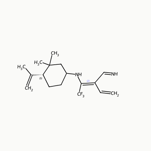 C=C/C(C=N)=C(/NC1CC[C@H](C(=C)C)C(C)(C)C1)C(F)(F)F